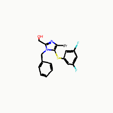 CC(C)c1nc(CO)n(Cc2ccccc2)c1Sc1cc(F)cc(F)c1